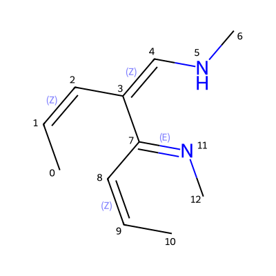 C\C=C/C(=C/NC)C(/C=C\C)=N/C